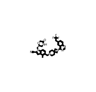 Cc1c(CN2CCC3(CC2)CN(c2ncnc4ccc(CC(F)(F)F)cc24)C3)ccc2c1cc(C#N)n2C[C@@H]1CNC(=O)CO1